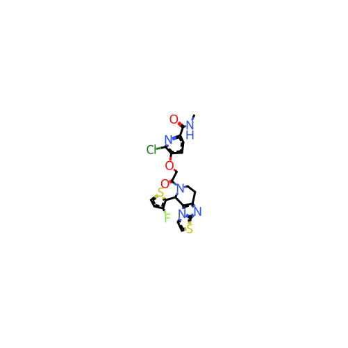 CNC(=O)c1ccc(OCC(=O)N2CCc3nc4sccn4c3C2c2sccc2F)c(Cl)n1